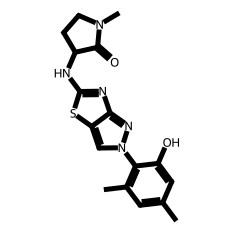 Cc1cc(C)c(-n2cc3sc(NC4CCN(C)C4=O)nc3n2)c(O)c1